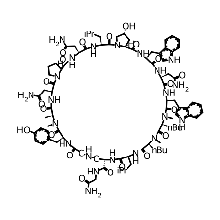 CCCC[C@H]1C(=O)N(C)[C@@H](CCCC)C(=O)NC(CC(C)C)C(=O)N[C@H](C(=O)NCC(N)=O)CNCC(=O)N[C@@H](Cc2ccc(O)cc2)C(=O)N(C)[C@@H](C)C(=O)N[C@@H](CC(N)=O)C(=O)N2CCC[C@H]2C(=O)N[C@@H](CC(N)=O)C(=O)N[C@@H](CC(C)C)C(=O)N2C[C@H](O)C[C@H]2C(=O)N[C@@H](Cc2c[nH]c3ccccc23)C(=O)N[C@@H](CC(N)=O)C(=O)N[C@@H](Cc2c[nH]c3ccccc23)C(=O)N1C